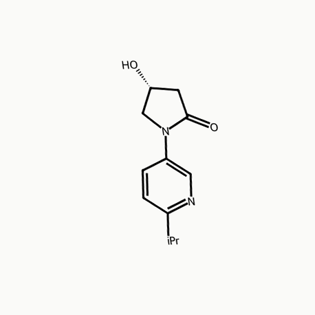 CC(C)c1ccc(N2C[C@H](O)CC2=O)cn1